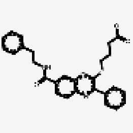 O=C(O)CCCOc1nc2cc(C(=O)NCCc3ccccc3)ccc2nc1-c1ccccc1